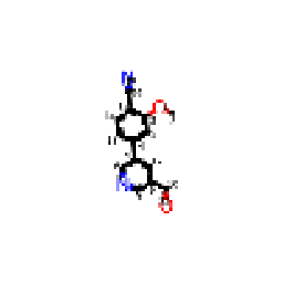 COc1cc(-c2cncc(C=O)c2)ccc1C#N